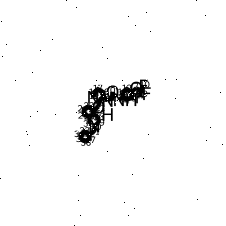 O=C(Nc1ccc(OC(F)(F)F)cc1)Nc1cccnc1Oc1cccc2c1CCN(Cc1ccccc1)C2